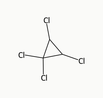 ClC1C(Cl)C1(Cl)Cl